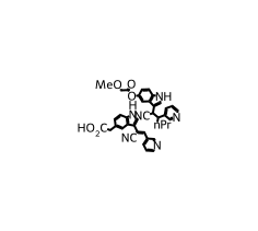 CCCC(c1cccnc1)C(C#N)c1c[nH]c2ccc(OC(=O)COC)cc12.N#C/C(=C\c1cccnc1)c1c[nH]c2ccc(CC(=O)O)cc12